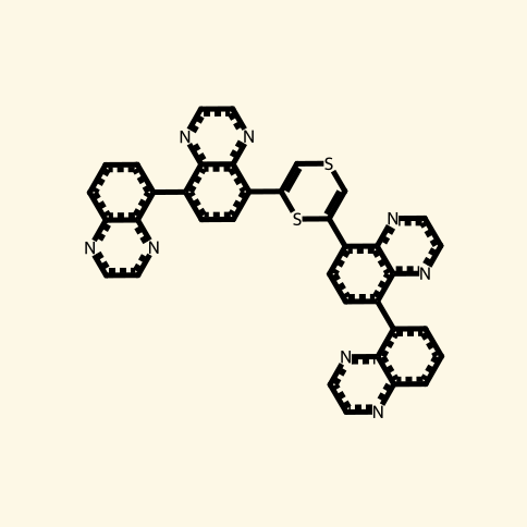 C1=C(c2ccc(-c3cccc4nccnc34)c3nccnc23)SC(c2ccc(-c3cccc4nccnc34)c3nccnc23)=CS1